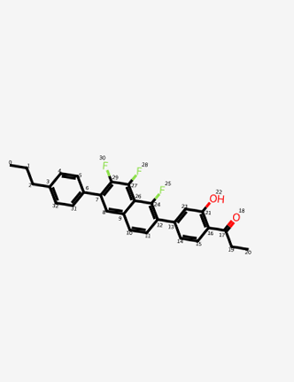 CCCc1ccc(-c2cc3ccc(-c4ccc(C(=O)CC)c(O)c4)c(F)c3c(F)c2F)cc1